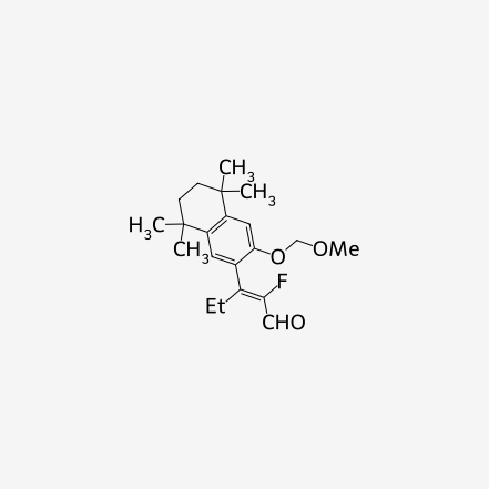 CCC(=C(F)C=O)c1cc2c(cc1OCOC)C(C)(C)CCC2(C)C